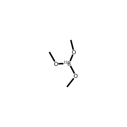 CO[11B](OC)OC